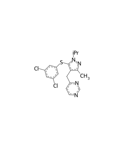 Cc1nn(C(C)C)c(Sc2cc(Cl)cc(Cl)c2)c1Cc1ccncn1